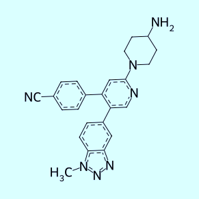 Cn1nnc2cc(-c3cnc(N4CCC(N)CC4)cc3-c3ccc(C#N)cc3)ccc21